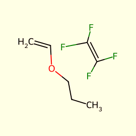 C=COCCC.FC(F)=C(F)F